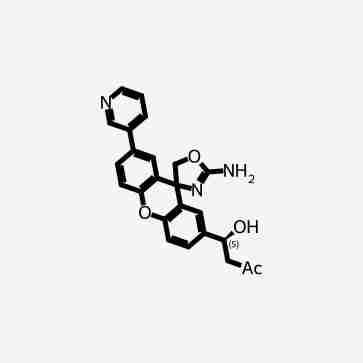 CC(=O)C[C@H](O)c1ccc2c(c1)C1(COC(N)=N1)c1cc(-c3cccnc3)ccc1O2